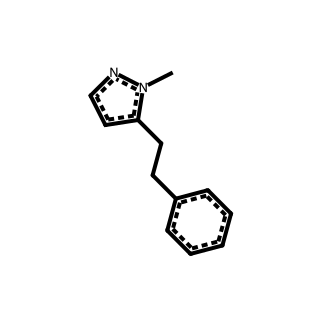 Cn1nccc1CCc1ccccc1